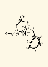 CC[C@@H]1CC(=O)C[C@H](Cc2ccccc2)N1